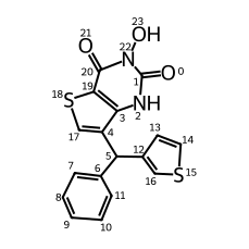 O=c1[nH]c2c(C(c3ccccc3)c3ccsc3)csc2c(=O)n1O